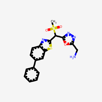 CS(=O)(=O)C(c1nnc(CN)o1)c1nc2ccc(-c3ccccc3)cc2s1